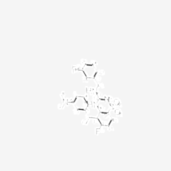 C[C@@H](c1cccc(N(C)C)c1)c1c(F)ccc2c1NC(NCc1cccc(F)c1)=NS2(=O)=O